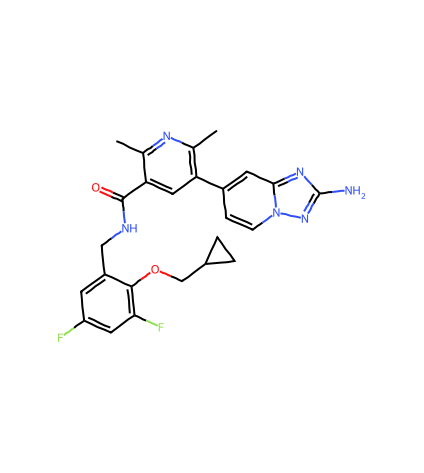 Cc1nc(C)c(-c2ccn3nc(N)nc3c2)cc1C(=O)NCc1cc(F)cc(F)c1OCC1CC1